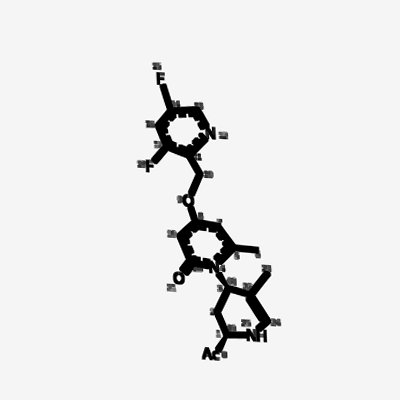 CC(=O)[C@H]1C[C@@H](n2c(C)cc(OCc3ncc(F)cc3F)cc2=O)C(C)=CN1